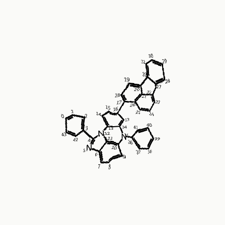 c1ccc(-c2nc3cccc4c3n2-c2ccc(-c3ccc5c6c(cccc36)-c3ccccc3-5)cc2N4c2ccccc2)cc1